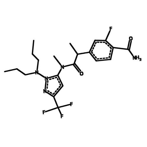 CCCN(CCC)n1nc(C(F)(F)F)cc1N(C)C(=O)C(C)c1ccc(C(N)=O)c(F)c1